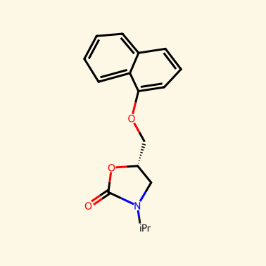 CC(C)N1C[C@@H](COc2cccc3ccccc23)OC1=O